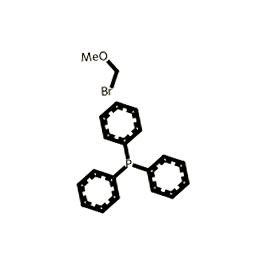 COCBr.c1ccc(P(c2ccccc2)c2ccccc2)cc1